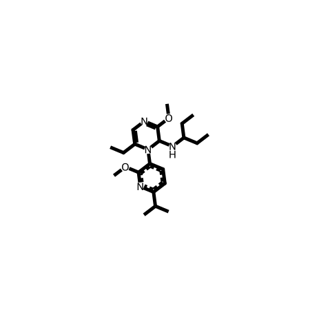 CCC1=CN=C(OC)C(NC(CC)CC)N1c1ccc(C(C)C)nc1OC